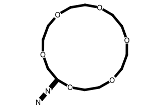 [N-]=[N+]=C1COCCOCCOCCOCCOCCO1